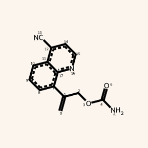 C=C(COC(N)=O)c1cccc2c(C#N)ccnc12